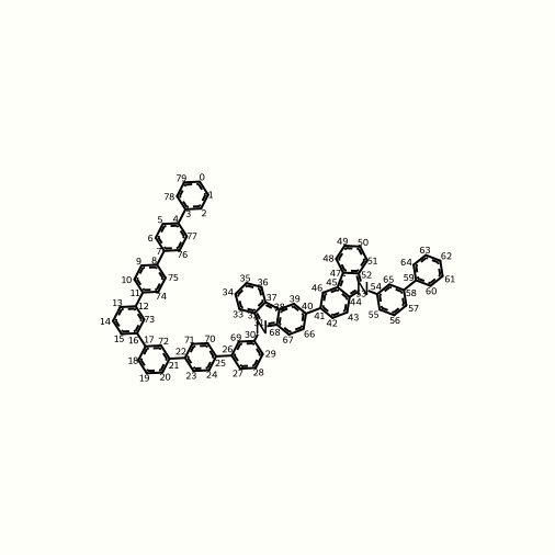 c1ccc(-c2ccc(-c3ccc(-c4cccc(-c5cccc(-c6ccc(-c7cccc(-n8c9ccccc9c9cc(-c%10ccc%11c(c%10)c%10ccccc%10n%11-c%10cccc(-c%11ccccc%11)c%10)ccc98)c7)cc6)c5)c4)cc3)cc2)cc1